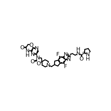 O=C1COc2ncc(N3CC4(CCN(CC5Cc6c(c(F)c7nn(CCNC(=O)[C@H]8CCCN8)nc7c6F)C5)CC4)OC3=O)nc2N1